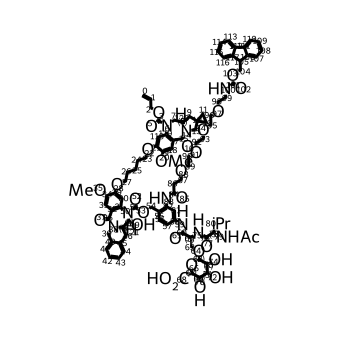 C=CCOC(=O)N1C[C@@H]2CC3(CC3)CN2C(=O)c2cc(OC)c(OCCCCCOc3cc4c(cc3OC)C(=O)N3Cc5ccccc5C[C@H]3[C@H](O)N4C(=O)OCc3ccc(NC(=O)[C@H](CO[C@@H]4O[C@H](C(=O)O)[C@@H](O)[C@H](O)[C@H]4O)NC(=O)[C@@H](NC(C)=O)C(C)C)cc3NC(=O)CCOCCOCCOCCOCCNC(=O)OCC3c4ccccc4-c4ccccc43)cc21